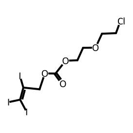 O=C(OCCOCCCl)OCC(I)=C(I)I